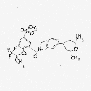 C[C@@H]1CC(c2ccc3c(c2)CN(C(=O)c2cc(S(C)(=O)=O)ccc2O[C@@H](C)C(F)(F)F)C3)C[C@H](C)O1